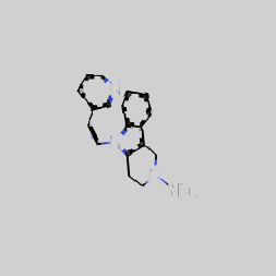 CC(C)(C)N1CCc2c(c3ccccc3n2/C=C\c2cccnc2)C1